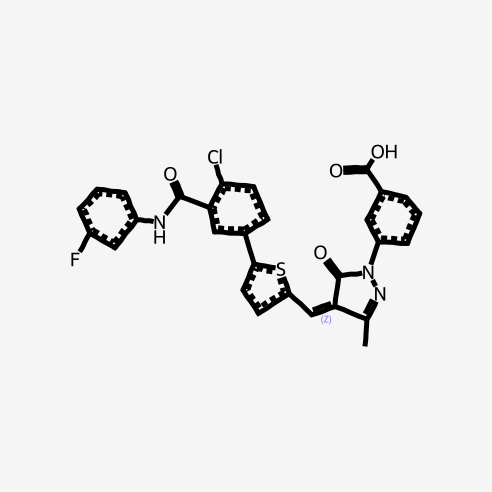 CC1=NN(c2cccc(C(=O)O)c2)C(=O)/C1=C\c1ccc(-c2ccc(Cl)c(C(=O)Nc3cccc(F)c3)c2)s1